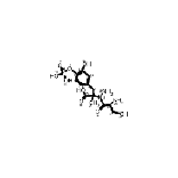 CC(Cc1ccc(OP(=O)(O)O)c(O)c1)(C(=O)O)N(N)C(=O)[C@@H](N)CO